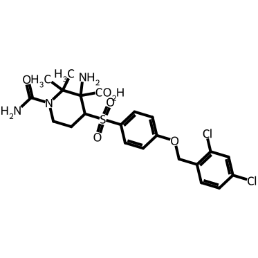 CC1(C)N(C(N)=O)CCC(S(=O)(=O)c2ccc(OCc3ccc(Cl)cc3Cl)cc2)C1(N)C(=O)O